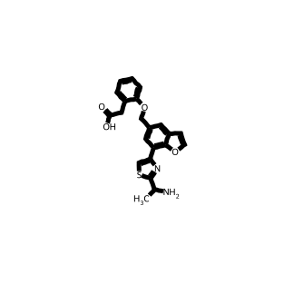 CC(N)c1nc(-c2cc(COc3ccccc3CC(=O)O)cc3ccoc23)cs1